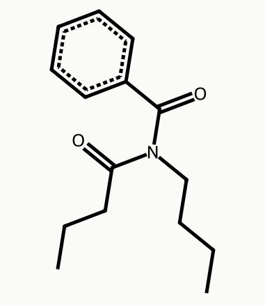 CCCCN(C(=O)CCC)C(=O)c1ccccc1